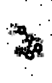 CC1=NN(c2ccc(C)c(C)c2)C(=O)C1=NNc1c(-c2nnn[nH]2)cccc1-c1ccccc1O